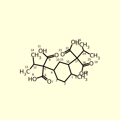 CC1CCC(C(C(=O)O)(C(=O)O)C(C)C)CC1C(C(=O)O)(C(=O)O)C(C)C